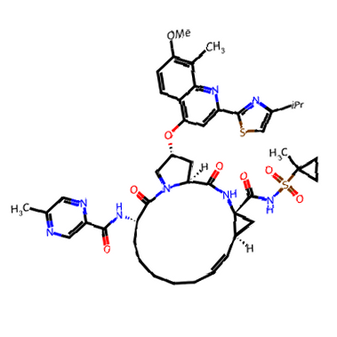 COc1ccc2c(O[C@@H]3C[C@H]4C(=O)N[C@]5(C(=O)NS(=O)(=O)C6(C)CC6)C[C@H]5/C=C\CCCCC[C@H](NC(=O)c5cnc(C)cn5)C(=O)N4C3)cc(-c3nc(C(C)C)cs3)nc2c1C